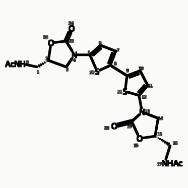 CC(=O)NC[C@H]1CN(c2ccc(-c3ccc(N4C[C@H](CNC(C)=O)OC4=O)s3)s2)C(=O)O1